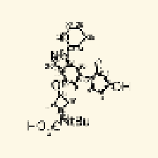 Cc1cc(O)ccc1-c1cc(OC2CC(N(C(=O)O)C(C)(C)C)C2)c2cnn(C3CCCCO3)c2c1